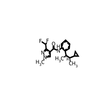 C[C@H](C1CC1)[C@@H](C)c1ccccc1NC(=O)c1cn(C)nc1C(F)F